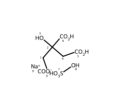 O=C([O-])CC(O)(CC(=O)O)C(=O)O.O=S(=O)(O)O.[Na+]